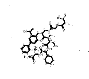 CCCCC(C)c1cc(-c2ccccc2)ccc1C[C@H](COC(=O)CNC(=O)[C@@H](C)[C@H](C)O)C(=O)N(C)[C@@H](CC(C)C)C(=O)N[C@H](C(=O)N[C@@H](CN)C(N)=O)C1CCCCC1